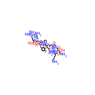 C[C@H](NC(=O)[C@@H](NC(=O)[C@@H](N)CCCCN)[C@@H](O)CN)C(=O)NCC(=O)/N=C(\CCCN)C(=O)N1CCC[C@H]1C(=O)N[C@@H](Cc1ccc(F)c(F)c1)C(=O)N[C@@H](CCCCN)C(=O)N/C(=C\CCNC(=N)N)C(=O)O